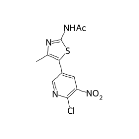 CC(=O)Nc1nc(C)c(-c2cnc(Cl)c([N+](=O)[O-])c2)s1